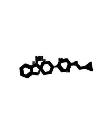 N[C@H]1c2ccccc2C[C@]12CC[C@@H](c1cnc(SCC3CC3)cn1)CC2